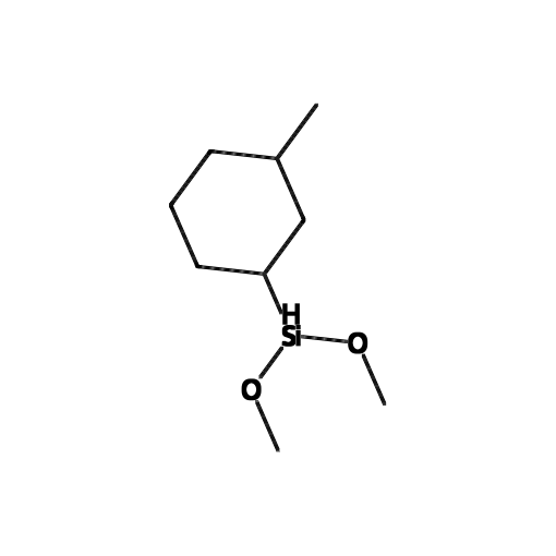 CO[SiH](OC)C1CCCC(C)C1